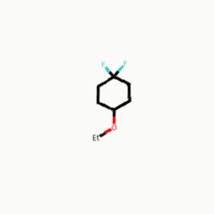 CCOC1CCC(F)(F)CC1